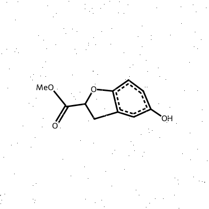 COC(=O)C1Cc2cc(O)ccc2O1